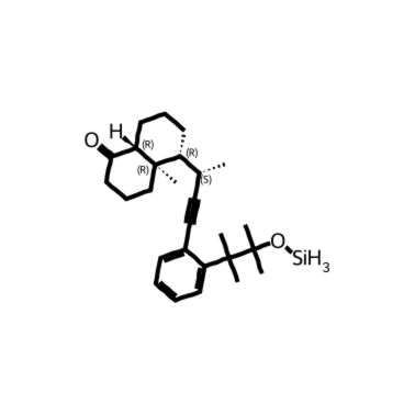 C[C@H](C#Cc1ccccc1C(C)(C)C(C)(C)O[SiH3])[C@H]1CCC[C@H]2C(=O)CCC[C@]12C